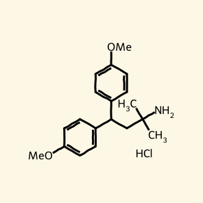 COc1ccc(C(CC(C)(C)N)c2ccc(OC)cc2)cc1.Cl